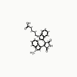 Cn1cc(C2=C(c3cn(CCCCC(=O)O)c4ccccc34)C(=O)NC2=O)c2ccccc21